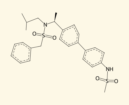 CC(C)CN([C@@H](C)c1ccc(-c2ccc(NS(C)(=O)=O)cc2)cc1)S(=O)(=O)Cc1ccccc1